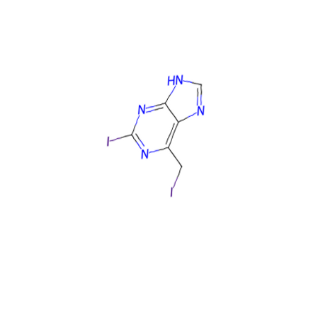 ICc1nc(I)nc2[nH]cnc12